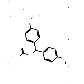 COc1ccc(C(OC(C)=O)c2ccc(OC)cc2)cc1